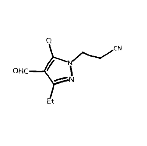 CCc1nn(CCC#N)c(Cl)c1C=O